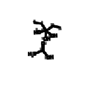 BC(=O)O.CCP(O)(O)(O)CC